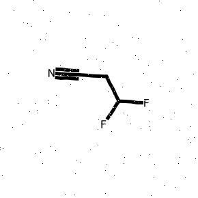 N#CCC(F)F